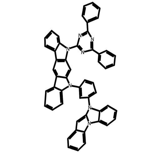 c1ccc(-c2nc(-c3ccccc3)nc(-n3c4ccccc4c4cc5c6ccccc6n(-c6cccc(-n7c8ccccc8n8c9ccccc9cc78)c6)c5cc43)n2)cc1